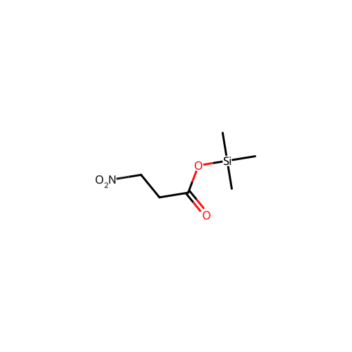 C[Si](C)(C)OC(=O)CC[N+](=O)[O-]